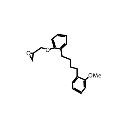 COc1ccccc1CCCCc1ccccc1OCC1CO1